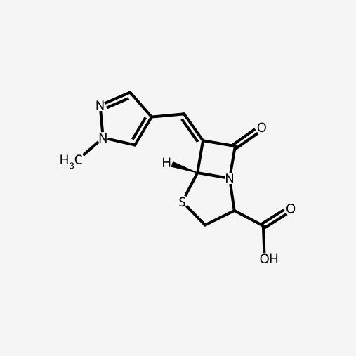 Cn1cc(/C=C2/C(=O)N3C(C(=O)O)CS[C@H]23)cn1